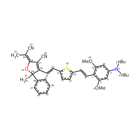 CCCCN(CCCC)c1cc(OC)c(/C=C/c2ccc(/C=C/C3=C(C#N)C(=C(/C)C#N)/OC3(C)c3ccccc3)s2)c(OC)c1